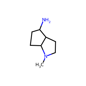 CN1CCC2C(N)CCC21